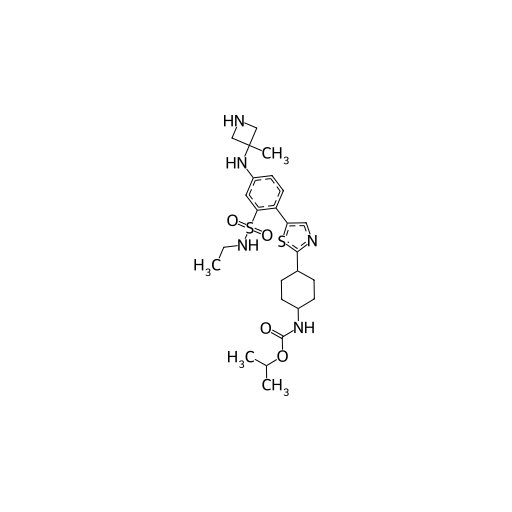 CCNS(=O)(=O)c1cc(NC2(C)CNC2)ccc1-c1cnc(C2CCC(NC(=O)OC(C)C)CC2)s1